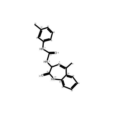 CC1=NC(NC(=O)Nc2cccc(C)c2)C(=O)Nc2ccccc21